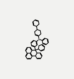 C1=CCC(C2CC=C(N(c3ccccc3)c3cccc(C4(C5C=CC=CC5)c5cccc6cccc(c56)C5C=CC=CC54)c3)CC2)C=C1